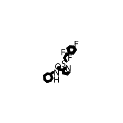 O=C(NCC1CCCCCC1)c1cccnc1SCCC(F)(F)c1ccc(F)cc1